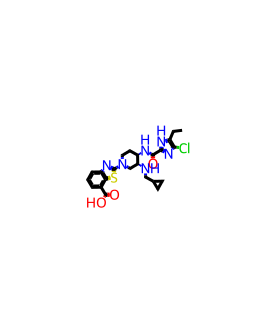 CCc1[nH]c(C(=O)N[C@@H]2CCN(c3nc4cccc(C(=O)O)c4s3)C[C@@H]2NCC2CC2)nc1Cl